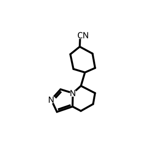 N#CC1CCC(C2CCCc3cncn32)CC1